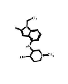 CN1CCC(O)C(Nc2cccc3c2cc(I)n3CC(F)(F)F)C1